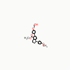 COC(=O)c1c(-c2ccc(OCCO)cc2)ccc2c1C=CCC2c1ccc(OC)cc1